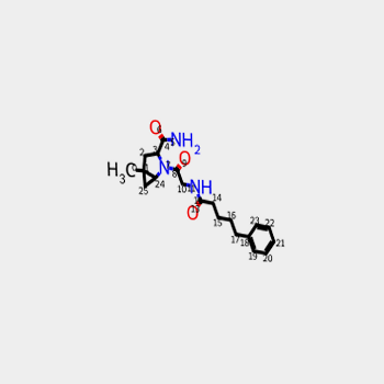 CC12CC(C(N)=O)N(C(=O)CNC(=O)CCCCc3ccccc3)C1C2